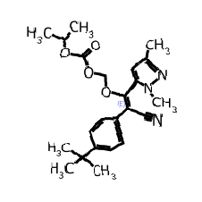 Cc1cc(/C(OCOC(=O)OC(C)C)=C(\C#N)c2ccc(C(C)(C)C)cc2)n(C)n1